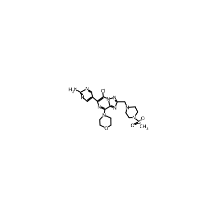 CS(=O)(=O)N1CCN(Cc2nc3c(N4CCOCC4)nc(-c4cnc(N)nc4)c(Cl)n3n2)CC1